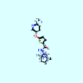 Cc1ccc(Oc2ccc(C(=O)N[C@@H]3C[C@H]4CC[C@@H]3N4)s2)cn1